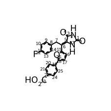 O=C1NC(=O)C(=C(Cc2ccc(F)cc2)c2ccc(-c3ccc(C(=O)O)cc3)o2)N1